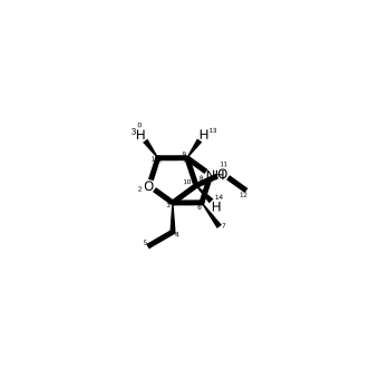 [3H][C@@H]1O[C@@]2(CC)[C@H](C)N[C@@H]1[C@@H]2OC